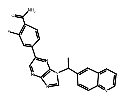 CC(c1ccc2ncccc2c1)n1cnc2ncc(-c3ccc(C(N)=O)c(F)c3)nc21